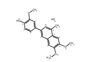 COc1cc(-c2cc3cc(OC)c(OC)cc3c(C)n2)ccc1O.Cl